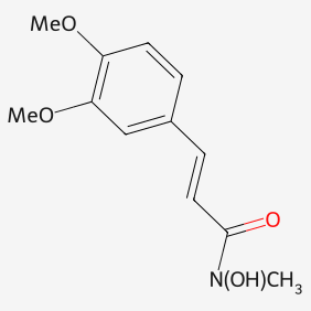 COc1ccc(C=CC(=O)N(C)O)cc1OC